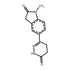 CN1C(=O)Cc2cc(C3=NNC(=O)CC3)ccc21